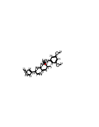 C#CC(C)/C=C1/N=CC(c2cnn(C)c2)=N/C1=N/CNc1cc(OC)cc(OC)c1